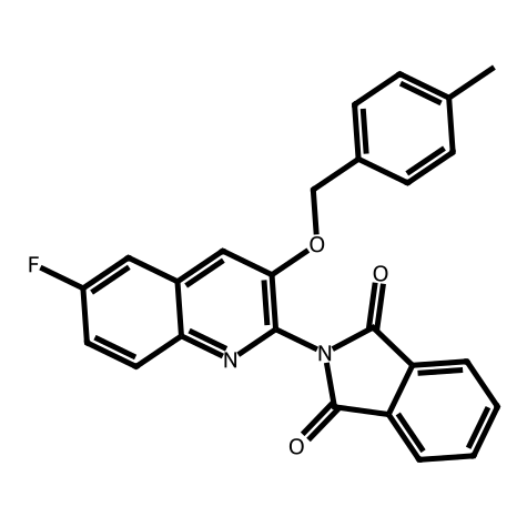 Cc1ccc(COc2cc3cc(F)ccc3nc2N2C(=O)c3ccccc3C2=O)cc1